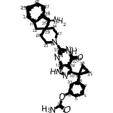 NC(=O)Oc1cccc(C2(c3n[nH]c4nc(N5CCC6(CC5)Cc5ccccc5[C@H]6N)[nH]c(=O)c34)CC2)c1